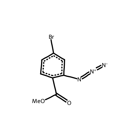 COC(=O)c1ccc(Br)cc1N=[N+]=[N-]